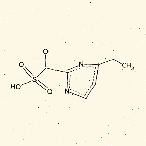 CCc1ccnc(C([O])S(=O)(=O)O)n1